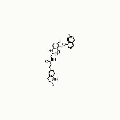 Cc1ccc2cccc(OCc3c(Cl)ccc(N(C)C(=O)CNC(=O)C=Cc4ccc5c(c4)CCC(=O)N5)c3Cl)c2n1